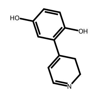 Oc1ccc(O)c(C2=CC=NCC2)c1